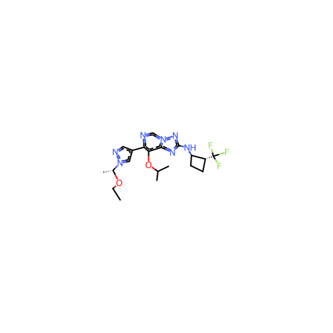 CCO[C@H](C)n1cc(-c2ncn3nc(N[C@@H]4CC[C@H]4C(F)(F)F)nc3c2OC(C)C)cn1